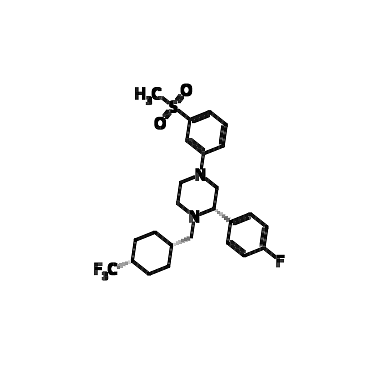 CS(=O)(=O)c1cccc(N2CCN(C[C@H]3CC[C@@H](C(F)(F)F)CC3)[C@@H](c3ccc(F)cc3)C2)c1